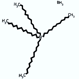 B.CCCCCCCCCCCCCC[N+](CCCCCCCCCCCCCC)(CCCCCCCCCCCCCC)CCCCCCCCCCCCCC